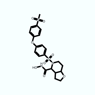 CS(=O)(=O)c1ccc(Oc2ccc(S(=O)(=O)N3CCC4OCCC4C3C(=O)NO)cc2)cc1